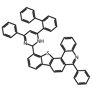 C1=C(c2ccccc2-c2ccccc2)NC(c2cccc3c2sc2c3ccc3c(-c4ccccc4)nc4ccccc4c32)N=C1c1ccccc1